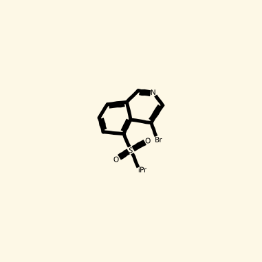 CC(C)S(=O)(=O)c1cccc2cncc(Br)c12